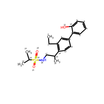 CCc1cc(-c2ccccc2O)ccc1C(C)CNS(=O)(=O)C(C)C